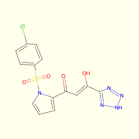 O=C(C=C(O)c1nn[nH]n1)c1cccn1S(=O)(=O)c1ccc(Cl)cc1